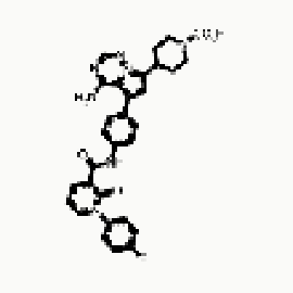 Nc1ncnn2c(C3CCN(C(=O)O)CC3)cc(-c3ccc(NC(=O)c4cccn(-c5ccc(F)cc5)c4=O)cc3)c12